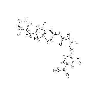 COc1cc(CC(=O)NC(C)COc2ccc(C(=O)O)cc2OC)ccc1NC(=O)Nc1ccccc1C